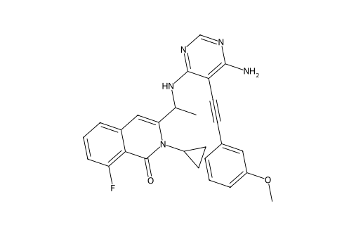 COc1cccc(C#Cc2c(N)ncnc2NC(C)c2cc3cccc(F)c3c(=O)n2C2CC2)c1